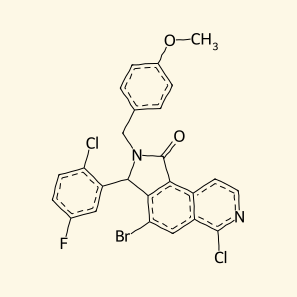 COc1ccc(CN2C(=O)c3c(c(Br)cc4c(Cl)nccc34)C2c2cc(F)ccc2Cl)cc1